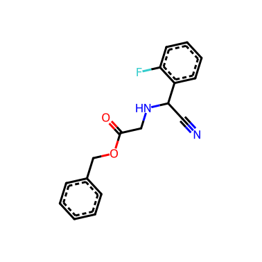 N#CC(NCC(=O)OCc1ccccc1)c1ccccc1F